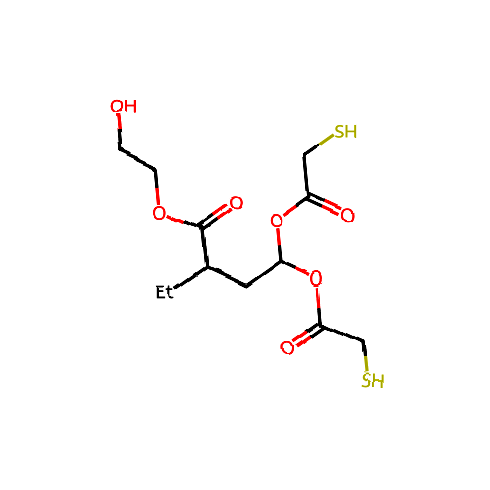 CCC(CC(OC(=O)CS)OC(=O)CS)C(=O)OCCO